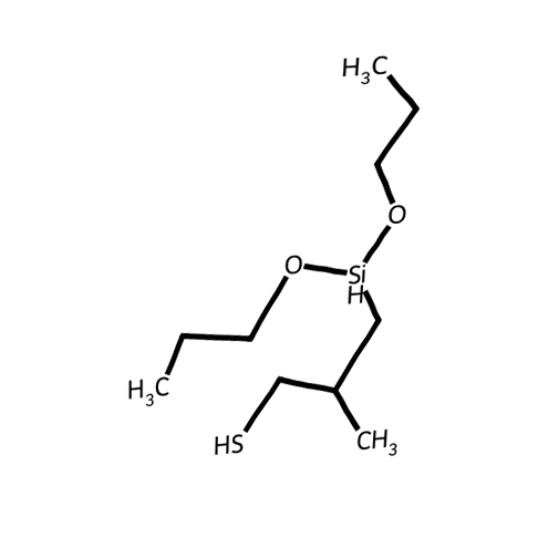 CCCO[SiH](CC(C)CS)OCCC